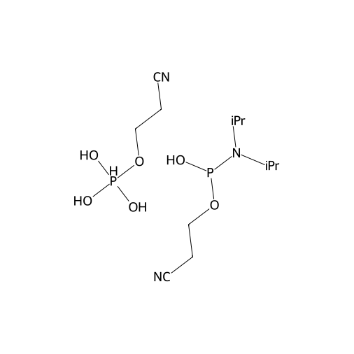 CC(C)N(C(C)C)P(O)OCCC#N.N#CCCO[PH](O)(O)O